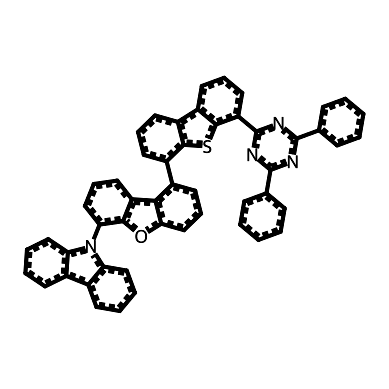 c1ccc(-c2nc(-c3ccccc3)nc(-c3cccc4c3sc3c(-c5cccc6oc7c(-n8c9ccccc9c9ccccc98)cccc7c56)cccc34)n2)cc1